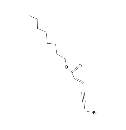 CCCCCCCCOC(=O)C=CC#CCBr